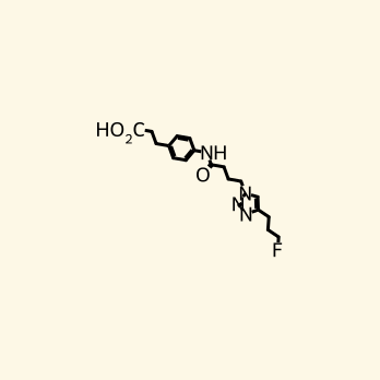 O=C(O)CCc1ccc(NC(=O)CCCn2cc(CCCF)nn2)cc1